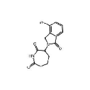 CC(C)c1cccc2c1CN(C1CCCC(=O)NC1=O)C2=O